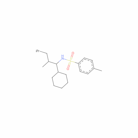 Cc1ccc(S(=O)(=O)NC(C(C)CC(C)C)C2CCCCC2)cc1